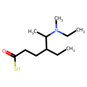 CCC(CCC(=O)S)C(C)N(C)CC